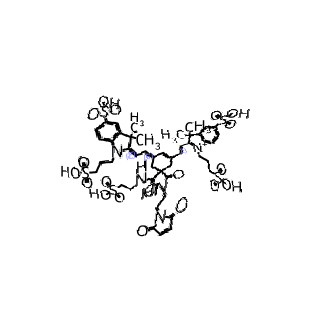 CC1(C)C(/C=C/C2=CC(=C/C=C3/N(CCCS(=O)(=O)O)c4ccc(S(=O)(=O)O)cc4C3(C)C)/CC(C(=O)NCCN3C(=O)C=CC3=O)(C(=O)NCCS(=O)(=O)O)C2)=[N+](CCCS(=O)(=O)O)c2ccc(S(=O)(=O)O)cc21